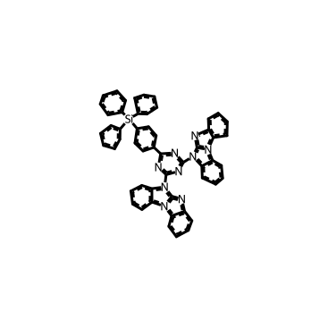 c1ccc([Si](c2ccccc2)(c2ccccc2)c2ccc(-c3nc(-n4c5ccccc5n5c6ccccc6nc45)nc(-n4c5ccccc5n5c6ccccc6nc45)n3)cc2)cc1